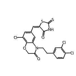 O=C1NC(=S)SC1=Cc1cc(Cl)c2c(c1)N(CCc1ccc(Cl)c(Cl)c1)C(=O)CO2